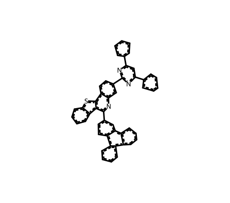 c1ccc(-c2cc(-c3ccccc3)nc(-c3ccc4c(c3)nc(-c3ccc5c6ccccc6c6ccccc6c5c3)c3c5ccccc5sc43)n2)cc1